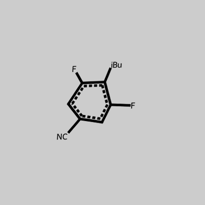 CCC(C)c1c(F)cc(C#N)cc1F